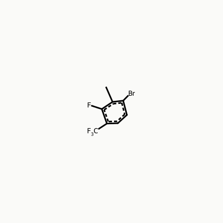 Cc1c(Br)ccc(C(F)(F)F)c1F